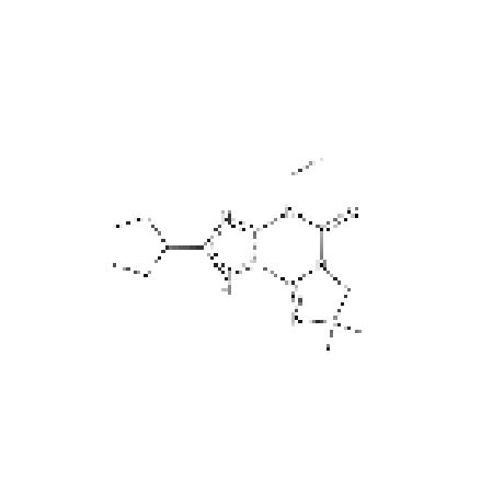 CCCN1C(=O)N2CC(C)(C)N=C2c2[nH]c(C3CCCC3)nc21